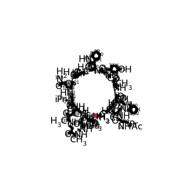 CCCC[C@H](NCN[C@@H](C)C(=O)CCN[C@@H](C)C(=O)CC(=O)[C@]1(C)CCC/C=C/CCCCCC[C@@](C)(NC(=O)[C@H](Cc2ccccc2)NC(=O)[C@@H](NC(=O)[C@H](CC(C)C)NC(C)=O)[C@@H](C)O)C(=O)CN[C@@H](C)C(=O)CN[C@@H](Cc2ccc(O)cc2)C(=O)N[C@@](C)(Cc2c[nH]c3ccccc23)C(=O)CN[C@@H](C)C(=O)CC(=O)[C@H](CCC(N)=O)NN[C@@H](CC(C)C)C(=O)N1)C(=O)CN[C@@H](C)C(=O)CN